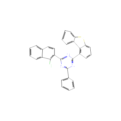 Clc1c(-c2nc(-c3ccccc3)nc(-c3cccc4sc5ccccc5c34)n2)ccc2ccccc12